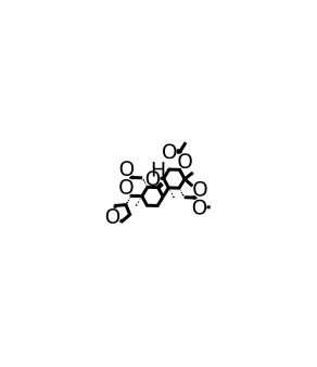 C=C1C2CC[C@@]3(C)[C@H](C4CCOC4)OC(=O)C[C@]13O[C@H]1C[C@H](OC(C)=O)C(C)(C)[C@H](CC(=O)OC)[C@@]21C